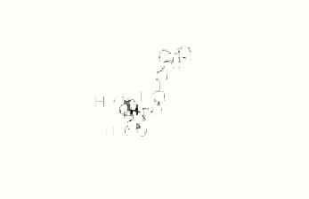 COC(=O)C1CC(Oc2ccc(-c3ccc(-c4cccc5c4oc4ccccc45)cc3)cc2)CN1C(=O)OC(C)(C)C